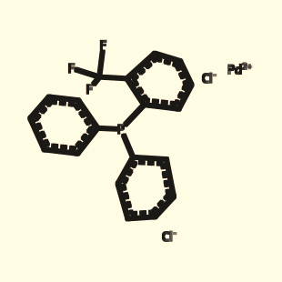 FC(F)(F)c1ccccc1P(c1ccccc1)c1ccccc1.[Cl-].[Cl-].[Pd+2]